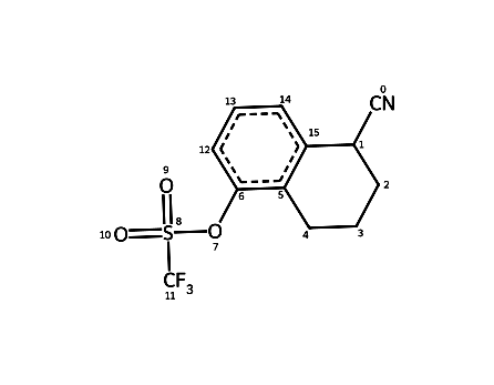 N#CC1CCCc2c(OS(=O)(=O)C(F)(F)F)cccc21